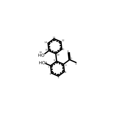 C=C(C)c1cccc(O)c1-c1ccccc1O